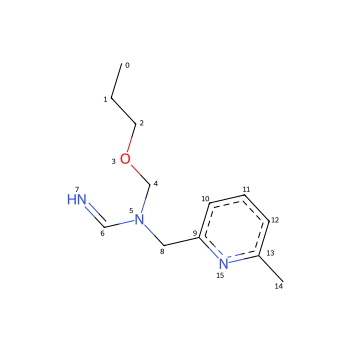 CCCOCN(C=N)Cc1cccc(C)n1